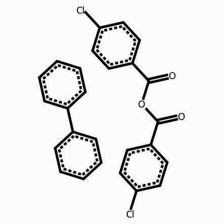 O=C(OC(=O)c1ccc(Cl)cc1)c1ccc(Cl)cc1.c1ccc(-c2ccccc2)cc1